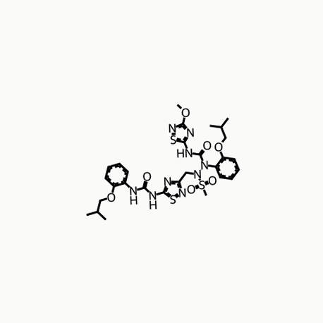 COc1nsc(NC(=O)N(c2ccccc2OCC(C)C)N(Cc2nsc(NC(=O)Nc3ccccc3OCC(C)C)n2)S(C)(=O)=O)n1